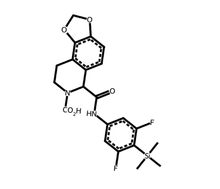 C[Si](C)(C)c1c(F)cc(NC(=O)C2c3ccc4c(c3CCN2C(=O)O)OCO4)cc1F